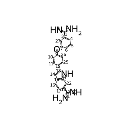 N=C(N)c1cccc(Oc2ccc(-c3cc4ccc(C(=N)N)cc4[nH]3)cc2)c1